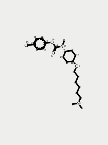 CN(C)CCCCCCO[C@H]1CC[C@H](N(C)C(=O)Oc2ccc(Cl)cc2)CC1